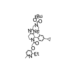 CCc1nc(C)ccc1OCC(=O)N1CCc2nc3n(c2C1c1ccc(C2CC2)cc1F)CCN(C(=O)OC(C)(C)C)C3